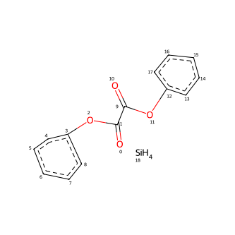 O=C(Oc1ccccc1)C(=O)Oc1ccccc1.[SiH4]